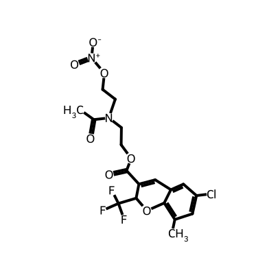 CC(=O)N(CCOC(=O)C1=Cc2cc(Cl)cc(C)c2OC1C(F)(F)F)CCO[N+](=O)[O-]